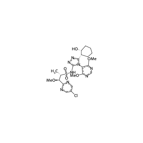 COc1ncnc(OC)c1-n1c(NS(=O)(=O)[C@@H](C)[C@H](OC)c2ncc(Cl)cn2)nnc1[C@H]1CCCC[C@H]1O